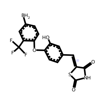 Bc1ccc(Oc2ccc(/C=C3\SC(=O)NC3=O)cc2O)c(C(F)(F)F)c1